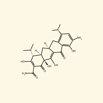 CN(C)c1cc(N)c(O)c2c1C[C@@H]1C[C@@H]3[C@@H](N(C)C)C(O)=C(C(N)=O)C(=O)[C@@]3(O)C(O)=C1C2=O